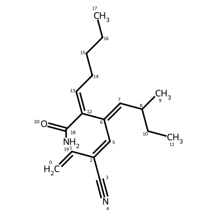 C=C\C(C#N)=C/C(=C\C(C)CC)C(=C\CCCC)/C(N)=O